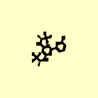 C[C@@H](Nc1cc(N[C@H](C)C(F)(F)F)nc(-c2cccc(Cl)n2)n1)C(F)(F)F